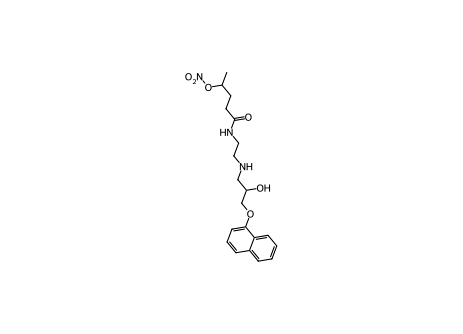 CC(CCC(=O)NCCNCC(O)COc1cccc2ccccc12)O[N+](=O)[O-]